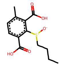 CCCC[S+]([O-])c1c(C(=O)O)ccc(C)c1C(=O)O